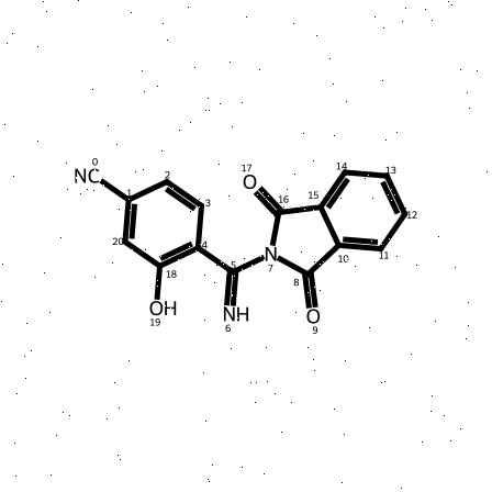 N#Cc1ccc(C(=N)N2C(=O)c3ccccc3C2=O)c(O)c1